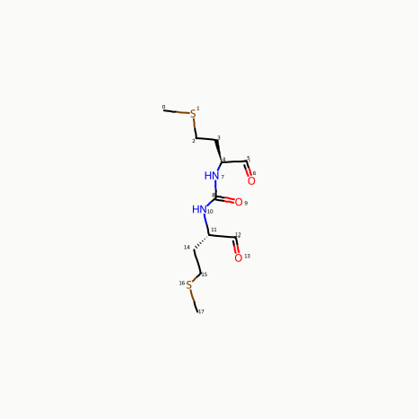 CSCC[C@@H]([C]=O)NC(=O)N[C@H]([C]=O)CCSC